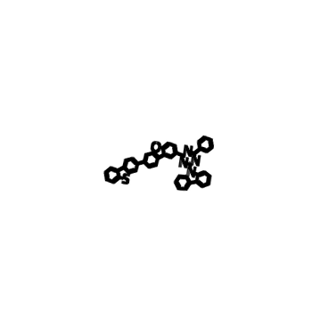 c1ccc(-c2nc(-c3ccc4oc5cc(-c6ccc7c(c6)sc6ccccc67)ccc5c4c3)nc(-n3c4ccccc4c4ccccc43)n2)cc1